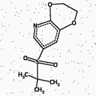 CC(C)(C)S(=O)(=O)c1cnc2c(c1)OCCO2